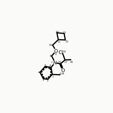 Cc1ccccc1N(COCC1CCC1)C(=O)C(C)Cl